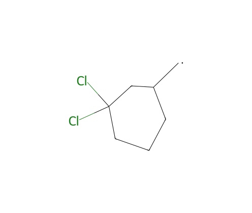 [CH2]C1CCCC(Cl)(Cl)C1